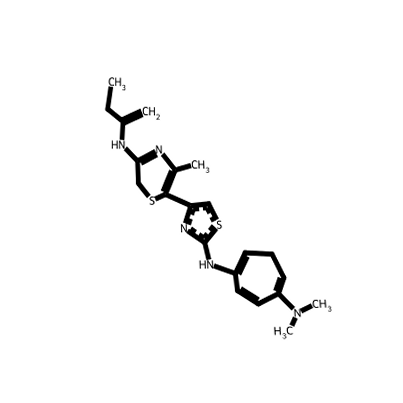 C=C(CC)NC1=NC(C)=C(c2csc(NC3=CCC=C(N(C)C)C=C3)n2)SC1